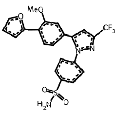 COc1cc(-c2cc(C(F)(F)F)nn2-c2ccc(S(N)(=O)=O)cc2)ccc1-c1ccco1